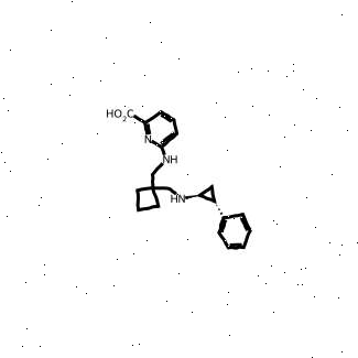 O=C(O)c1cccc(NCC2(CN[C@H]3C[C@@H]3c3ccccc3)CCC2)n1